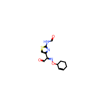 O=[C]C(=NOC1C=CCCC1)c1csc(NC=O)n1